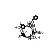 CCCCO[C@H](C)[C@@H]1NC(=O)[C@@H](NC(=O)OCc2ccccc2)Cc2cc(I)c(O)c(c2)Oc2c(Br)cc(cc2Br)C[C@@H](C(=O)O)NC1=O